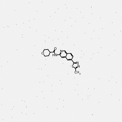 Cc1nnc(-c2ccc3cnc(NC(=O)C4CCOCC4)cc3c2)s1